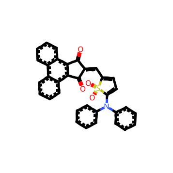 O=C1C(=CC2=CC=C(N(c3ccccc3)c3ccccc3)S2(=O)=O)C(=O)c2c1c1ccccc1c1ccccc21